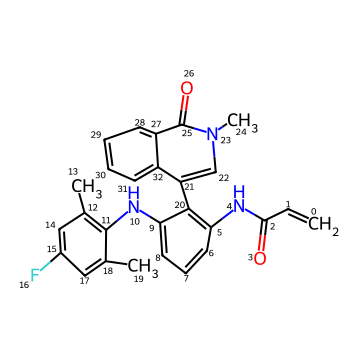 C=CC(=O)Nc1cccc(Nc2c(C)cc(F)cc2C)c1-c1cn(C)c(=O)c2ccccc12